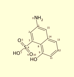 Nc1cc(S(=O)(=O)O)c2c(O)cccc2c1